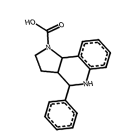 O=C(O)N1CCC2C(c3ccccc3)Nc3ccccc3C21